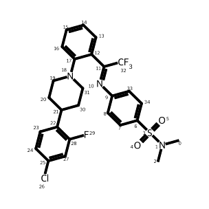 CN(C)S(=O)(=O)c1ccc(/N=C(/c2ccccc2N2CCC(c3ccc(Cl)cc3F)CC2)C(F)(F)F)cc1